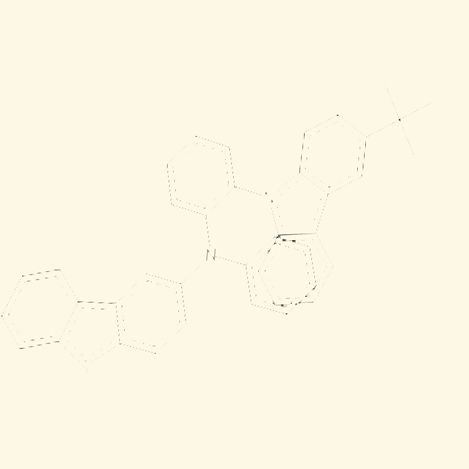 CC(C)(C)c1ccc2c(c1)c1ccccc1n2-c1ccccc1N(c1ccccc1)c1ccc2sc3ccccc3c2c1